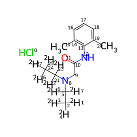 Cl.[2H]C([2H])([2H])C([2H])([2H])N(CC(=O)Nc1c(C)cccc1C)C([2H])([2H])C([2H])([2H])[2H]